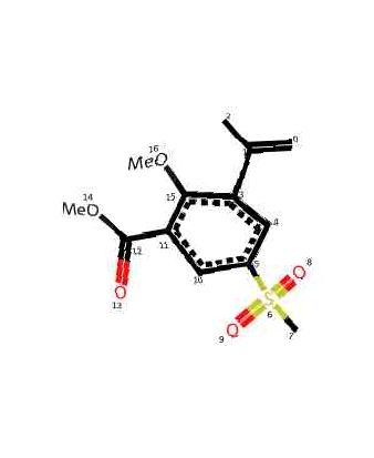 C=C(C)c1cc(S(C)(=O)=O)cc(C(=O)OC)c1OC